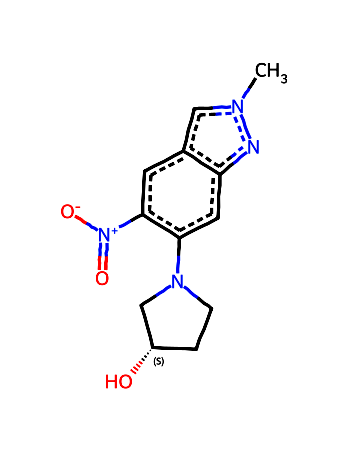 Cn1cc2cc([N+](=O)[O-])c(N3CC[C@H](O)C3)cc2n1